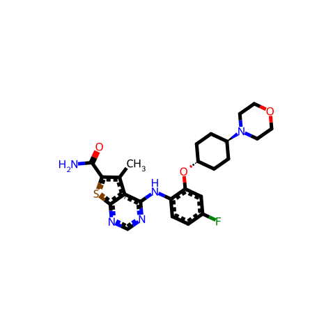 Cc1c(C(N)=O)sc2ncnc(Nc3ccc(F)cc3O[C@H]3CC[C@H](N4CCOCC4)CC3)c12